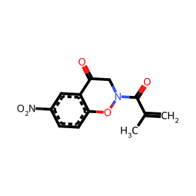 C=C(C)C(=O)N1CC(=O)c2cc([N+](=O)[O-])ccc2O1